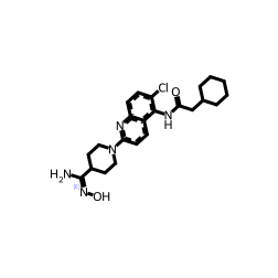 N/C(=N/O)C1CCN(c2ccc3c(NC(=O)CC4CCCCC4)c(Cl)ccc3n2)CC1